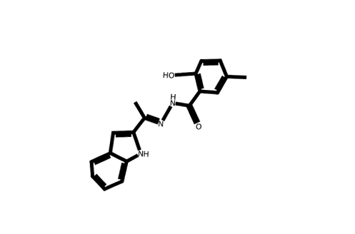 C/C(=N\NC(=O)c1cc(C)ccc1O)c1cc2ccccc2[nH]1